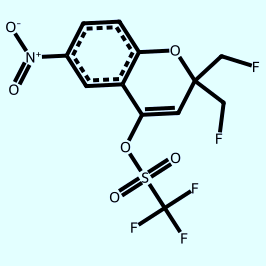 O=[N+]([O-])c1ccc2c(c1)C(OS(=O)(=O)C(F)(F)F)=CC(CF)(CF)O2